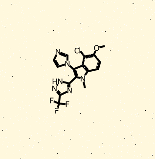 COc1ccc2c(c1Cl)c(-n1ccnc1)c(-c1nc(C(F)(F)F)n[nH]1)n2C